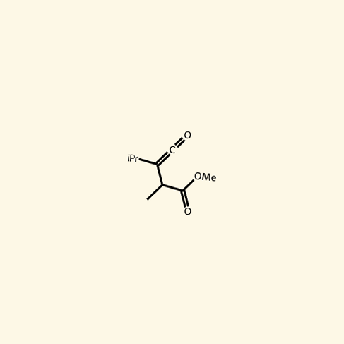 COC(=O)C(C)C(=C=O)C(C)C